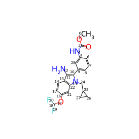 COC(=O)Nc1cccc(-c2c(N)c3ccc(OC(F)F)cc3n2CC2CC2)c1